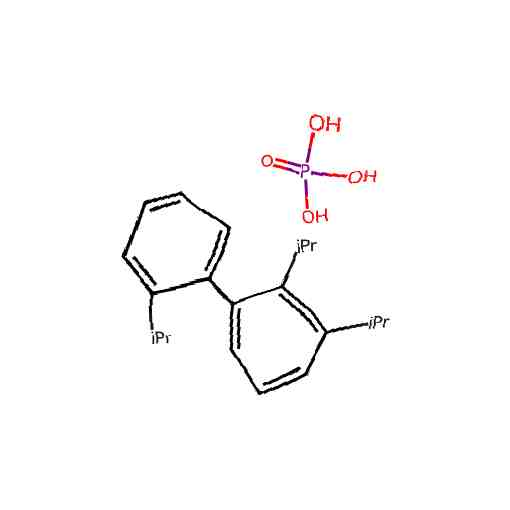 CC(C)c1ccccc1-c1cccc(C(C)C)c1C(C)C.O=P(O)(O)O